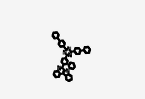 c1ccc(-c2ccc(-c3nc(-c4ccc(-c5ccccc5)cc4)nc(-c4ccc(-c5nc6ccccc6c6c7ccccc7n(-c7ccccc7)c56)cc4)n3)cc2)cc1